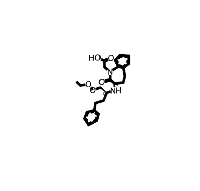 CCOOC[C@H](CCc1ccccc1)N[C@H]1CCc2ccccc2N(CC(=O)O)C1=O